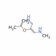 C=C(C)O/C(C=N)=C/NC